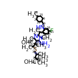 C=N/C(N)=C(\C(C)=N/CC(=C)c1ccc(F)cc1NCC1CCC(C)CC1)[C@@](C)(C=O)C(=C)S/C=C(\C)CC(C)(C)C=O